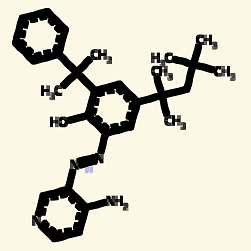 CC(C)(C)CC(C)(C)c1cc(/N=N/c2cnccc2N)c(O)c(C(C)(C)c2ccccc2)c1